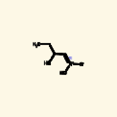 CCC(O)/C=[N+](/[O-])O